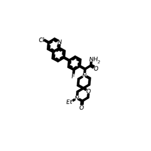 CCN1CC2(CCN(C(C(N)=O)c3ccc(-c4ccc5cc(Cl)cnc5c4)cc3F)CC2)OCC1=O